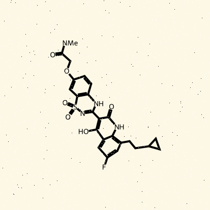 CNC(=O)COc1ccc2c(c1)S(=O)(=O)N=C(c1c(O)c3cc(F)cc(CCC4CC4)c3[nH]c1=O)N2